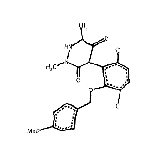 COc1ccc(COc2c(Cl)ccc(Cl)c2C2C(=O)C(C)NN(C)C2=O)cc1